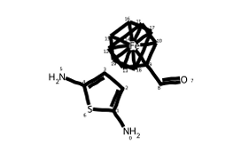 Nc1ccc(N)s1.O=C[C]12[CH]3[CH]4[CH]5[CH]1[Fe]45321678[CH]2[CH]1[CH]6[CH]7[CH]28